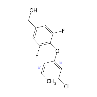 C/C=C\C(=C/CCl)Oc1c(F)cc(CO)cc1F